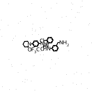 NCc1cccc(NN(C(=O)Nc2ccc(N3CCCCC3=O)c(C(F)(F)F)c2)c2ccccc2Cl)c1